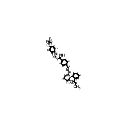 CCC(C)c1ccccc1N1/C(=N/N=C/c2ccc(C(=N)/N=C\Nc3ccc(OC(F)(F)F)cc3)cc2)SCCC1C